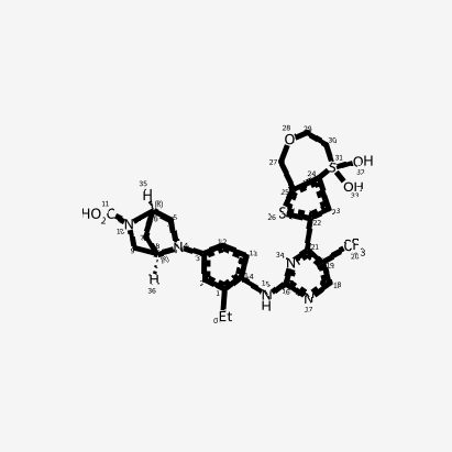 CCc1cc(N2C[C@H]3C[C@@H]2CN3C(=O)O)ccc1Nc1ncc(C(F)(F)F)c(-c2cc3c(s2)COCCS3(O)O)n1